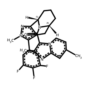 Cc1ccn2c(C(=O)N3[C@@H]4CCC[C@H]3c3nn(C)c(-c5cc(F)c(F)c(F)c5)c3C4)c(C)nc2c1